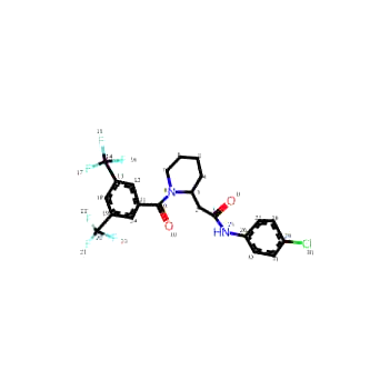 O=C(CC1CCCCN1C(=O)c1cc(C(F)(F)F)cc(C(F)(F)F)c1)Nc1ccc(Cl)cc1